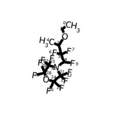 CCOC(C)C(F)(F)C(F)N1C(F)(F)C(F)(F)OC(F)(F)C1(F)F